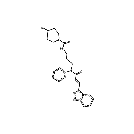 O=C(NCCCN(C(=O)/C=C/c1n[nH]c2ccccc12)c1ccccc1)N1CCC(O)CC1